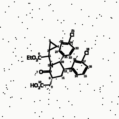 CCOC(=O)C(C1CC1)N1C(=O)[C@@H](CC(=O)O)C[C@H](c2cccc(Cl)c2)[C@H]1c1ccc(Cl)cc1